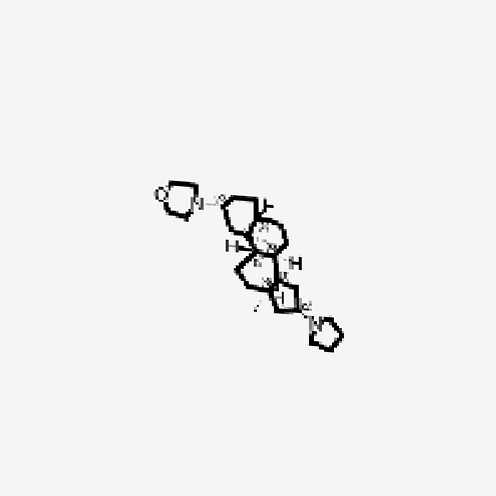 C[C@]12CC[C@H]3[C@@H](CC[C@H]4CC[C@@H](N5CCOCC5)C[C@@]43C)[C@@H]1C[C@H](N1CCCC1)C2